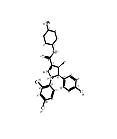 C[C@@H]1C(C(=O)NC2CCC(C(C)(C)C)CC2)=NN(c2ccc(Cl)cc2Cl)[C@@H]1c1ccc(Cl)cc1